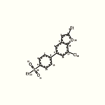 CCc1cc2cc(-c3ccc(S(=O)(=O)CC)cc3)cc(Cl)c2o1